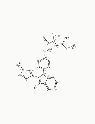 Cn1nnc(-c2c(Cl)c3ccccc3n2-c2ccc(CNC(=O)C3(NC(=O)CC(F)(F)F)CC3)cc2)n1